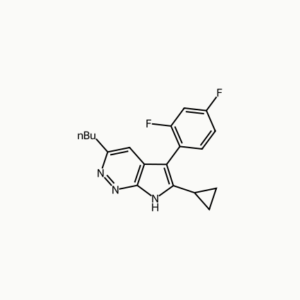 [CH2]CCCc1cc2c(-c3ccc(F)cc3F)c(C3CC3)[nH]c2nn1